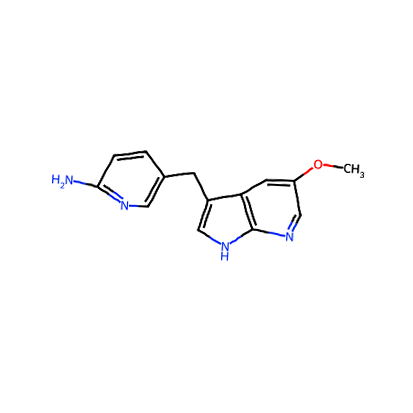 COc1cnc2[nH]cc(Cc3ccc(N)nc3)c2c1